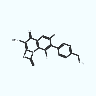 C=c1sc2c(C(=O)O)c(=O)c3cc(F)c(-c4ccc(CN)cc4)c(Cl)c3n12